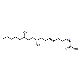 CCCCCC(O)CCC(O)CCC=CCC/C=C\C(=O)O